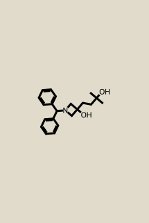 CC(C)(O)CCC1(O)CN(C(c2ccccc2)c2ccccc2)C1